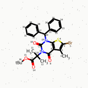 Cc1c(Br)sc2c1c(=O)n(C(C)(C)C(=O)OC(C)(C)C)c(=O)n2C(c1ccccc1)c1ccccc1